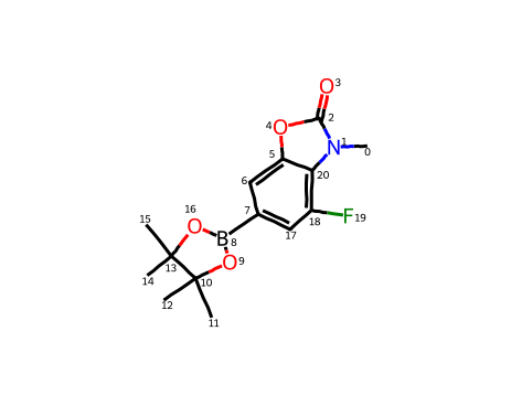 Cn1c(=O)oc2cc(B3OC(C)(C)C(C)(C)O3)cc(F)c21